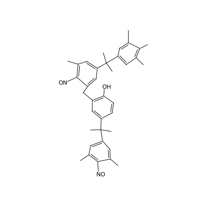 Cc1cc(C(C)(C)c2cc(C)c(N=O)c(Cc3cc(C(C)(C)c4cc(C)c(N=O)c(C)c4)ccc3O)c2)cc(C)c1C